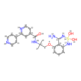 CC(C)(COc1cccc2c1C(N)=NS(O)(O)N2)NC(=O)c1ccnc(-c2ccncc2)c1